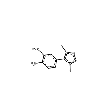 COc1cc(-c2c(C)noc2C)ccc1N